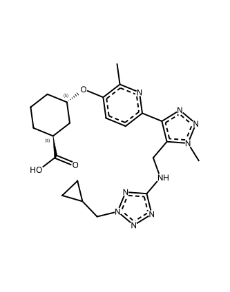 Cc1nc(-c2nnn(C)c2CNc2nnn(CC3CC3)n2)ccc1O[C@H]1CCC[C@H](C(=O)O)C1